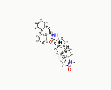 CN1C(=O)CC[C@@]2(C)C1CC[C@@H]1[C@H]2CC[C@]2(C)C(C(=O)N[C@H](Cc3ccccc3)c3ccccc3)CC[C@@H]12